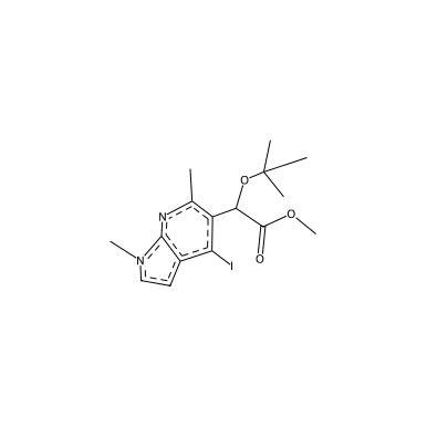 COC(=O)C(OC(C)(C)C)c1c(C)nc2c(ccn2C)c1I